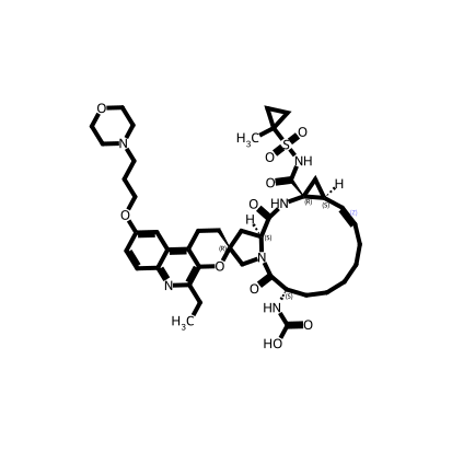 CCc1nc2ccc(OCCCN3CCOCC3)cc2c2c1O[C@]1(CC2)C[C@H]2C(=O)N[C@]3(C(=O)NS(=O)(=O)C4(C)CC4)C[C@H]3/C=C\CCCCC[C@H](NC(=O)O)C(=O)N2C1